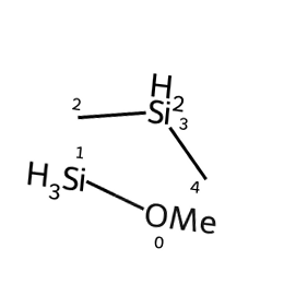 CO[SiH3].C[SiH2]C